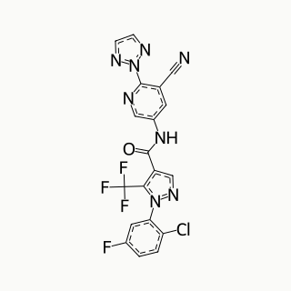 N#Cc1cc(NC(=O)c2cnn(-c3cc(F)ccc3Cl)c2C(F)(F)F)cnc1-n1nccn1